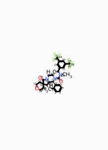 Cc1ccccc1[C@H]1[C@@H]2CC3(CCOCC3)C(=O)N2CCN1C(=O)N(C)[C@H](C)c1cc(C(F)(F)F)cc(C(F)(F)F)c1